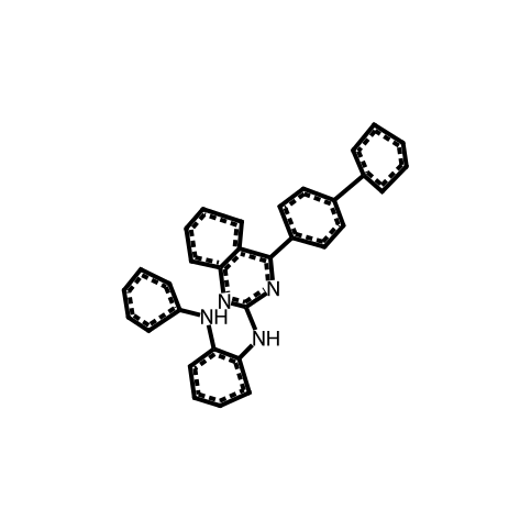 c1ccc(Nc2ccccc2Nc2nc(-c3ccc(-c4ccccc4)cc3)c3ccccc3n2)cc1